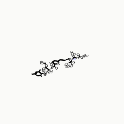 Cc1cc(C)c(S(=O)(=O)N[C@@H](CNC(=O)c2ccc(C=CCN(C(=O)OC(C)(C)C)/C(N)=N/C(=O)OC(C)(C)C)s2)C(=O)OC(C)(C)C)c(C)c1